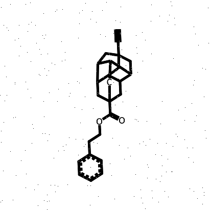 C#CC12CC3C4CC5(C(=O)OCCc6ccccc6)CC3C(C1)C(C5)C4C2